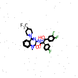 CN1C(=O)C(NC(=O)[C@H](c2ccc(F)cc2)[C@@H](O)c2ccc(F)c(F)c2)N=C(N2CCC(C(F)(F)F)CC2)c2ccccc21